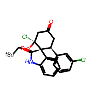 CC(C)(C)CO[C@@]1(Cl)CC(=O)C[C@@H](c2cccc(Cl)c2)[C@@]12C(=O)Nc1ccccc12